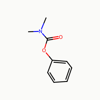 CN(C)C(=O)Oc1ccccc1